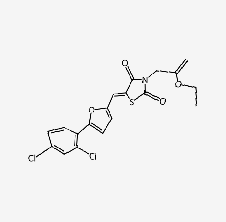 C=C(CN1C(=O)S/C(=C\c2ccc(-c3ccc(Cl)cc3Cl)o2)C1=O)OCC